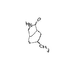 CC1CC2C(=O)NCC2S1